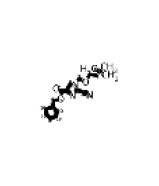 C[Si](C)(C)CCOCn1cc(C(=O)OCc2ccccc2)nc1C#N